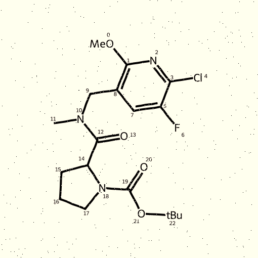 COc1nc(Cl)c(F)cc1CN(C)C(=O)C1CCCN1C(=O)OC(C)(C)C